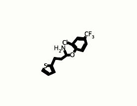 NC(CCc1cccs1)Oc1ccc(C(F)(F)F)cc1Cl